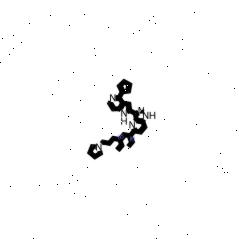 C=C/C(=C\C(=C/C)c1ccc2[nH]nc(-c3cc4c(C5=CCC=C5)nccc4[nH]3)c2n1)CCCN1CCCC1